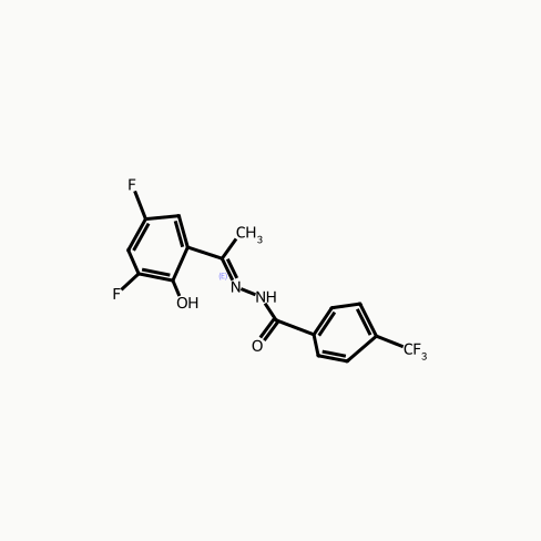 C/C(=N\NC(=O)c1ccc(C(F)(F)F)cc1)c1cc(F)cc(F)c1O